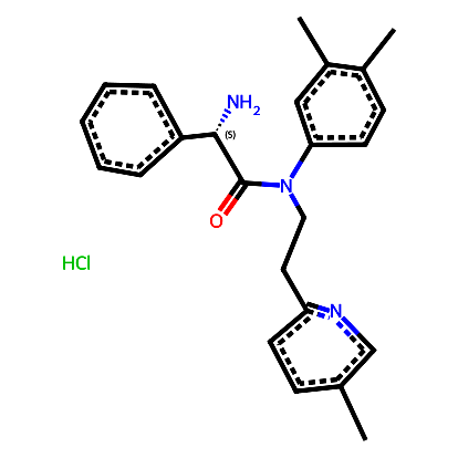 Cc1ccc(CCN(C(=O)[C@@H](N)c2ccccc2)c2ccc(C)c(C)c2)nc1.Cl